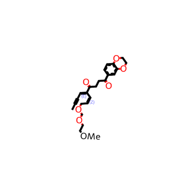 CC#C/C=C(\C=C/COCOCCOC)C(=O)CCC(=O)c1ccc2c(c1)OCCO2